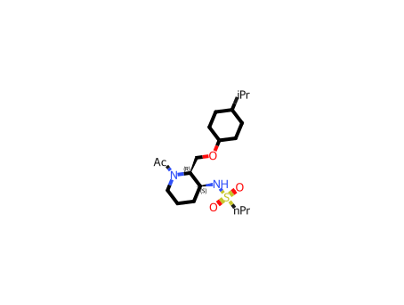 CCCS(=O)(=O)N[C@H]1CCCN(C(C)=O)[C@H]1COC1CCC(C(C)C)CC1